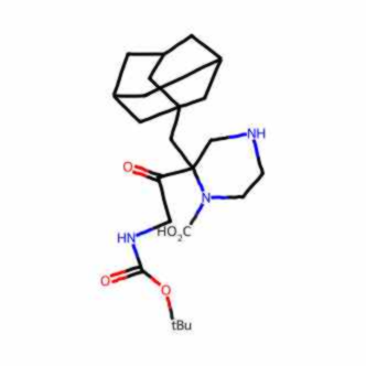 CC(C)(C)OC(=O)NCC(=O)C1(CC23CC4CC(CC(C4)C2)C3)CNCCN1C(=O)O